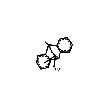 CC12CC(C)(C(=O)O)C(c3ccccc31)c1ccccc12